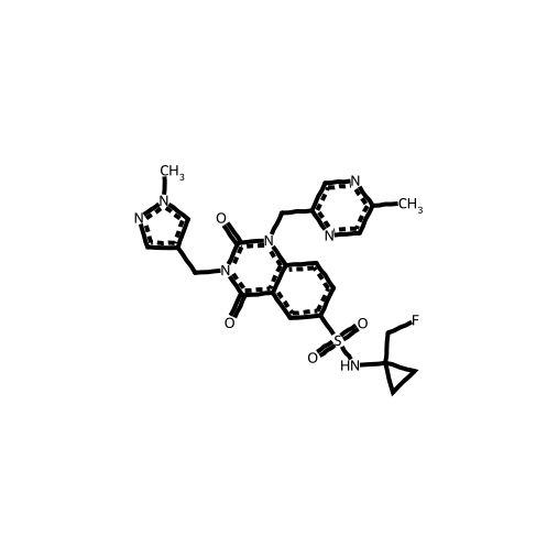 Cc1cnc(Cn2c(=O)n(Cc3cnn(C)c3)c(=O)c3cc(S(=O)(=O)NC4(CF)CC4)ccc32)cn1